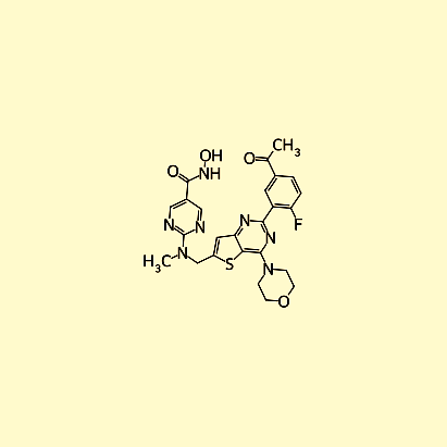 CC(=O)c1ccc(F)c(-c2nc(N3CCOCC3)c3sc(CN(C)c4ncc(C(=O)NO)cn4)cc3n2)c1